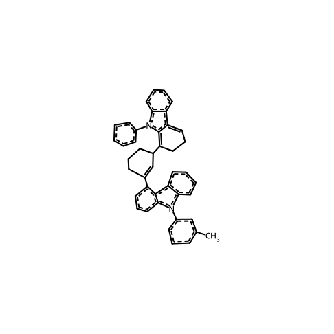 Cc1cccc(-n2c3ccccc3c3c(C4=CC(C5=c6c(c7ccccc7n6-c6ccccc6)=CCC5)CCC4)cccc32)c1